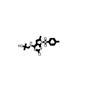 Cc1ccc(S(=O)(=O)n2c(C)cc3c(NCC(C)(C)O)nc(Cl)nc32)cc1